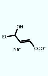 CCC(O)C=CC(=O)[O-].[Na+]